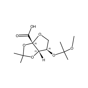 COC(C)(C)O[C@@H]1CO[C@@]2(C(=O)O)OC(C)(C)O[C@@H]12